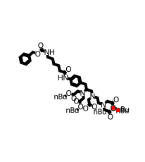 CCCCOC(=O)CN(CCN(CC(=O)OCCCC)CC(Cc1ccc(NC(=O)CCCCCNC(=O)OCc2ccccc2)cc1)N(CC(=O)OCCCC)CC(=O)OCCCC)CC(=O)OCCCC